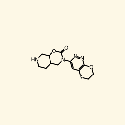 O=C1OC2CNCCC2CN1c1cc2c(nn1)OCCS2